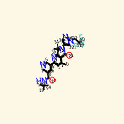 Cc1cc(-c2cncc(C(=O)NC(C)(C)C)c2)nc2c1C(=O)N(c1cnn(CC(F)(F)F)c1)C2(C)C